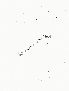 CCCCCCCCCCCCCC[CH]CC(F)(F)F